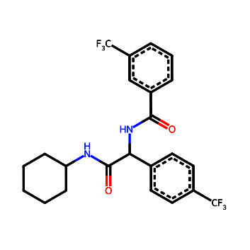 O=C(NC(C(=O)NC1CCCCC1)c1ccc(C(F)(F)F)cc1)c1cccc(C(F)(F)F)c1